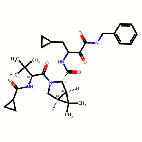 CC(C)(C)[C@H](NC(=O)C1CC1)C(=O)N1C[C@H]2[C@@H]([C@H]1C(=O)NC(CC1CC1)C(=O)C(=O)NCc1ccccc1)C2(C)C